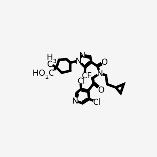 CC1(C(=O)O)CCC(n2ncc(C(=O)N(CCC3CC3)CC(=O)c3c(Cl)cncc3Cl)c2C(F)(F)F)CC1